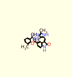 Cc1cccc(C(C)NC(=O)c2ccc3c(c2)C(=Cc2[nH]c(C)c(N)c2C)C(=O)N3)c1